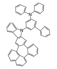 c1ccc(-c2cc(N(c3ccccc3)c3ccccc3)cc(-n3c4ccccc4c4cc5c(cc43)-c3ccccc3-c3cccc4cccc-5c34)c2)cc1